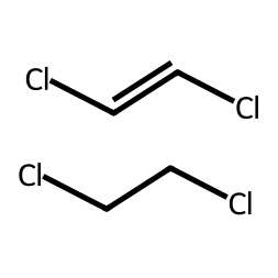 ClC=CCl.ClCCCl